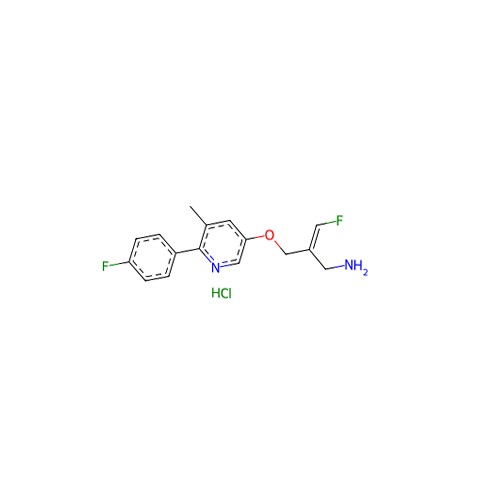 Cc1cc(OCC(=CF)CN)cnc1-c1ccc(F)cc1.Cl